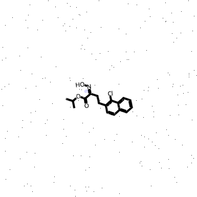 CC(C)OC(=O)/C(CCc1ccc2ccccc2c1Cl)=N\O